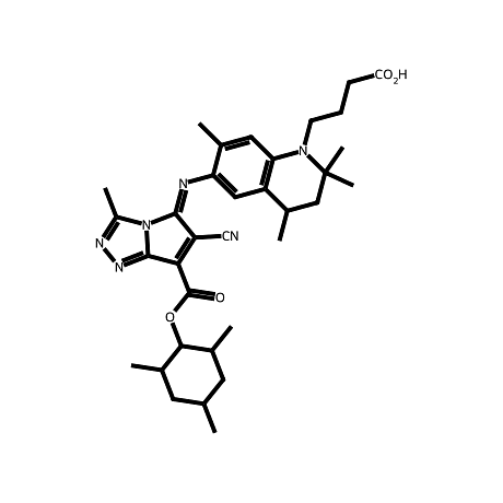 Cc1cc2c(cc1/N=C1\C(C#N)=C(C(=O)OC3C(C)CC(C)CC3C)c3nnc(C)n31)C(C)CC(C)(C)N2CCCC(=O)O